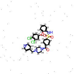 O=C(c1ccc(S(=O)(=O)Nc2ccccc2Oc2ccc(Cl)c(Cl)c2)cc1)N1CCN(Cc2ccncc2)CC1